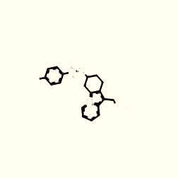 CCOC(=O)Cc1c2c(n3ccccc13)CC(N(C)S(=O)(=O)c1ccc(F)cc1)CC2